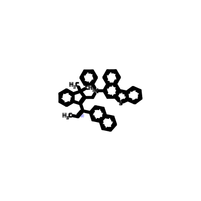 C/C=C(\C1=C(CN(c2ccccc2)c2cc3sc4ccccc4c3c3ccccc23)C(C)(C)c2ccccc21)c1ccc2ccccc2c1